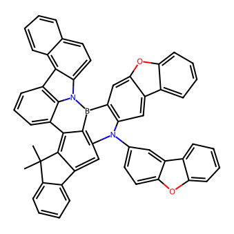 CC1(C)c2ccccc2-c2cc3c4c(c21)-c1cccc2c5c6ccccc6ccc5n(c12)B4c1cc2oc4ccccc4c2cc1N3c1ccc2oc3ccccc3c2c1